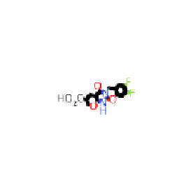 O=C(O)C1=Cc2c([nH]c(=O)n(Cc3ccc(F)c(F)c3)c2=O)OC1